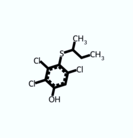 CCC(C)Sc1c(Cl)cc(O)c(Cl)c1Cl